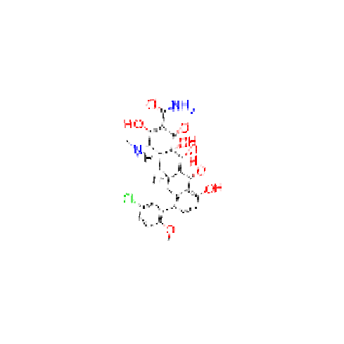 COc1ccc(Cl)cc1-c1ccc(O)c2c1C[C@H]1C[C@H]3[C@H](N(C)C)C(O)=C(C(N)=O)C(=O)[C@@]3(O)C(O)=C1C2=O